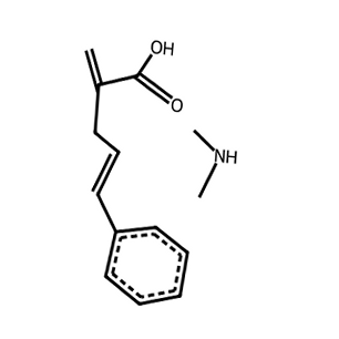 C=C(CC=Cc1ccccc1)C(=O)O.CNC